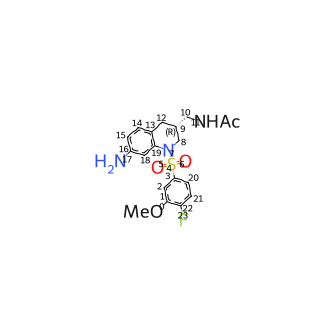 COc1cc(S(=O)(=O)N2C[C@@H](CNC(C)=O)Cc3ccc(N)cc32)ccc1F